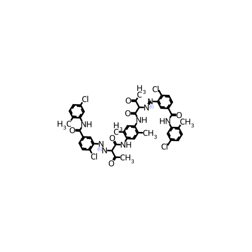 CC(=O)C(/N=N/c1cc(C(=O)Nc2cc(Cl)ccc2C)ccc1Cl)C(=O)Nc1cc(C)c(NC(=O)C(/N=N/c2cc(C(=O)Nc3cc(Cl)ccc3C)ccc2Cl)C(C)=O)cc1C